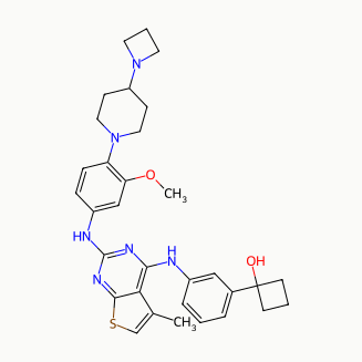 COc1cc(Nc2nc(Nc3cccc(C4(O)CCC4)c3)c3c(C)csc3n2)ccc1N1CCC(N2CCC2)CC1